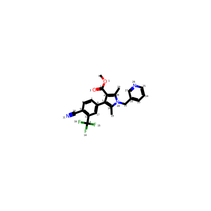 COC(=O)c1c(-c2ccc(C#N)c(C(F)(F)F)c2)c(C)n(Cc2cccnc2)c1C